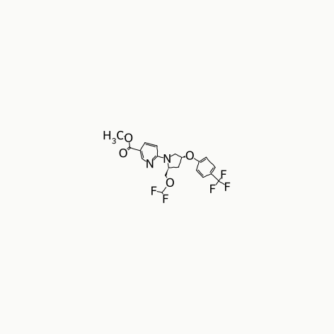 COC(=O)c1ccc(N2C[C@@H](Oc3ccc(C(F)(F)F)cc3)C[C@H]2COC(F)F)nc1